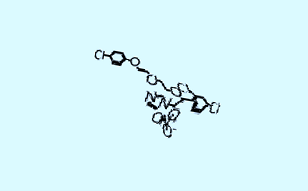 O=[N+]([O-])OC([C](OCCOCCOc1ccc(Cl)cc1)c1ccc(Cl)cc1Cl)n1ccnc1